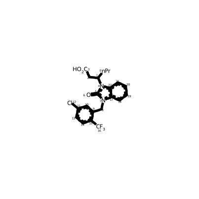 CCCC(CC(=O)O)n1c(=O)n(Cc2cc(Cl)ccc2C(F)(F)F)c2ccccc21